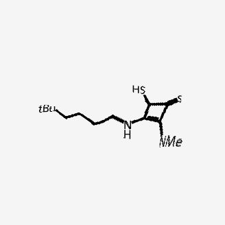 CNC1=C(NCCCCC(C)(C)C)C(S)C1=S